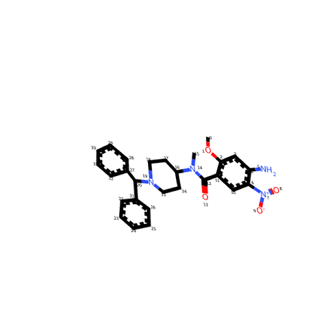 COc1cc(N)c([N+](=O)[O-])cc1C(=O)N(C)C1CCN(C(c2ccccc2)c2ccccc2)CC1